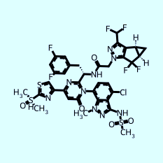 Cn1nc(NS(C)(=O)=O)c2c(Cl)ccc(-n3c([C@H](Cc4cc(F)cc(F)c4)NC(=O)Cn4nc(C(F)F)c5c4C(F)(F)[C@@H]4C[C@H]54)nc(-c4csc([SH](C)(C)=O)n4)cc3=O)c21